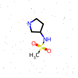 CS(=O)(=O)NC1CC[N]C1